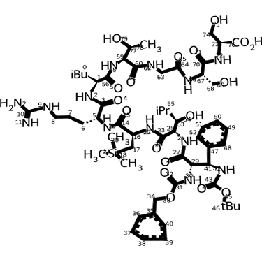 CC[C@H](C)[C@H](NC(=O)[C@@H](CCCNC(=N)N)NC(=O)[C@H](C[Si](C)(C)C)NC(=O)[C@@H](NC(=O)[C@@H](NC(=O)OCc1ccccc1)[C@H](NC(=O)OC(C)(C)C)c1ccccc1)[C@H](O)C(C)C)C(=O)N[C@H](C(=O)NCC(=O)N[C@@H](CO)C(=O)N[C@@H](CO)C(=O)O)[C@H](C)O